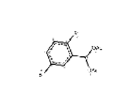 CC(=O)OC(OC(C)=O)c1cc(Br)ccc1Br